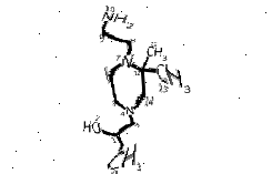 CC(O)CN1CCN(CCN)C(C)(C)C1